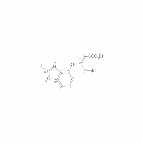 CCOC(=O)/C=C(\CBr)Oc1cccc2oc(C)nc12